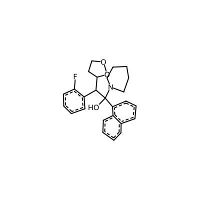 OC(c1cccc2ccccc12)(C(c1ccccc1F)C1CCOO1)N1CCCCC1